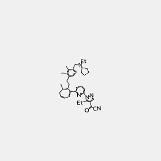 CCc1c(C(=O)C#N)cnn1-c1cccc(C2=CC=CCC(C)=C2CCc2ccc(CN(CC)C3CCCC3)c(C)c2C)n1